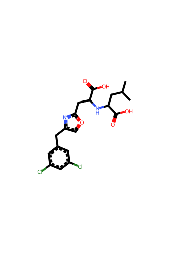 CC(C)CC(NC(Cc1nc(Cc2cc(Cl)cc(Cl)c2)co1)C(=O)O)C(=O)O